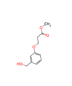 COC(=O)CCOc1cccc(CO)c1